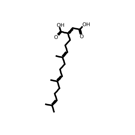 CC(C)=CCC/C(C)=C/CC/C(C)=C/CC/C(=C\C(=O)O)C(=O)O